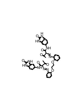 CC(=O)C(/N=N/c1ccccc1OCCOc1ccccc1/N=N/C(C(C)=O)C(=O)Nc1ccc2[nH]c(=O)[nH]c2c1)C(=O)Nc1ccc2[nH]c(=O)[nH]c2c1